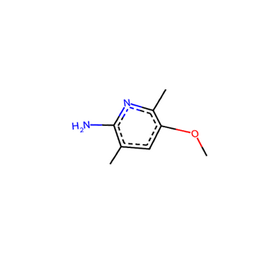 COc1cc(C)c(N)nc1C